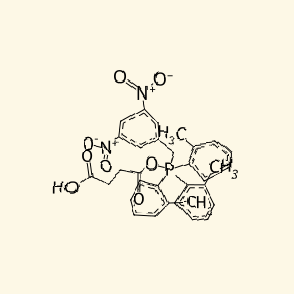 Cc1ccccc1P(Cc1cc([N+](=O)[O-])cc([N+](=O)[O-])c1)(OC(=O)CCC(=O)O)(c1ccccc1C)c1ccccc1C